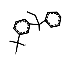 [CH2]CC(C)(c1ccccc1)c1cccc(C(F)(F)F)c1